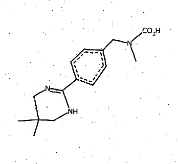 CN(Cc1ccc(C2=NCC(C)(C)CN2)cc1)C(=O)O